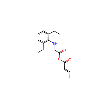 C/C=C/C(=O)OC(=O)CNc1c(CC)cccc1CC